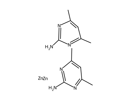 Cc1cc(C)nc(N)n1.Cc1cc(C)nc(N)n1.[Zn].[Zn]